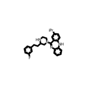 CC(C)c1ccc2c(c1)C(N1CCNC(CCc3cccc(F)c3)C1)=Nc1ccccc1N2